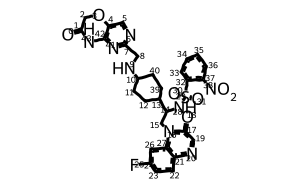 O=C1COc2cnc(CNC3CCC(C(Cn4c(=O)cnc5ccc(F)cc54)NS(=O)(=O)c4ccccc4[N+](=O)[O-])CC3)nc2N1